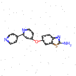 Nc1nc2ccc(Oc3ccnc(-c4ccncc4)c3)cc2s1